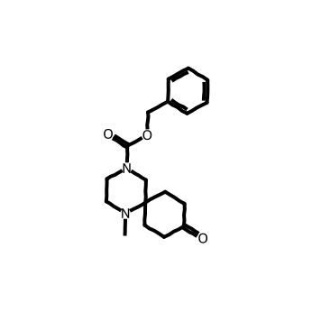 CN1CCN(C(=O)OCc2ccccc2)CC12CCC(=O)CC2